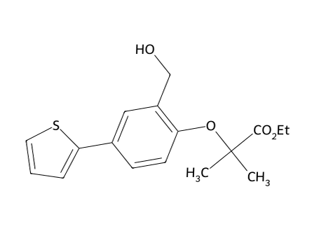 CCOC(=O)C(C)(C)Oc1ccc(-c2cccs2)cc1CO